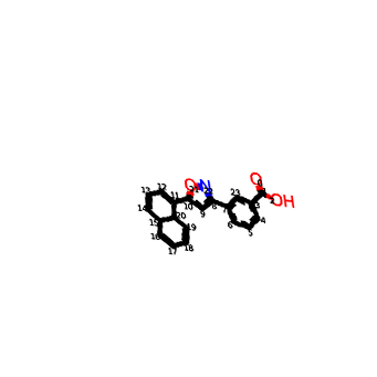 O=C(O)c1cccc(-c2cc(C3=CC=CC4C=CC=CC34)on2)c1